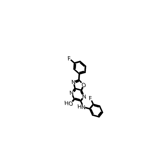 Oc1nc2nc(-c3cccc(F)c3)oc2nc1Nc1ccccc1F